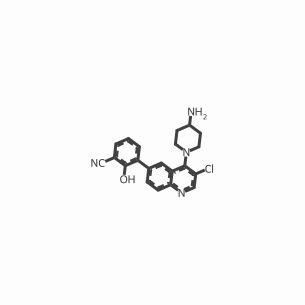 N#Cc1cccc(-c2ccc3ncc(Cl)c(N4CCC(N)CC4)c3c2)c1O